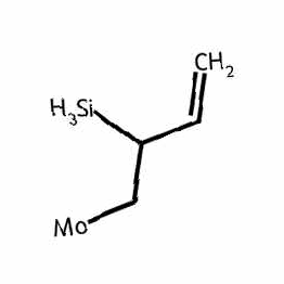 C=CC([SiH3])[CH2][Mo]